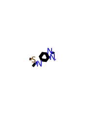 CS/C(C)=N\c1ccc2ncn(C)c2c1